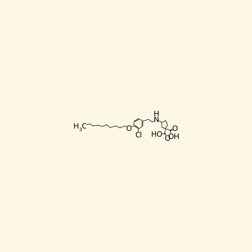 CCCCCCCCCCOc1ccc(CCNC2CCC(C(=O)O)(C(=O)O)C2)cc1Cl